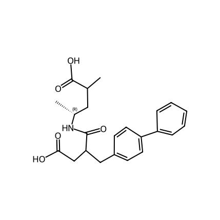 CC(C[C@@H](C)NC(=O)C(CC(=O)O)Cc1ccc(-c2ccccc2)cc1)C(=O)O